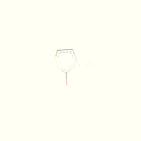 Brc1nccs1.[Zn]